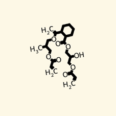 C=CC(=O)OCC(C)COC(=C)C1CCCCC1C(=O)OCC(O)COC(=O)C=C